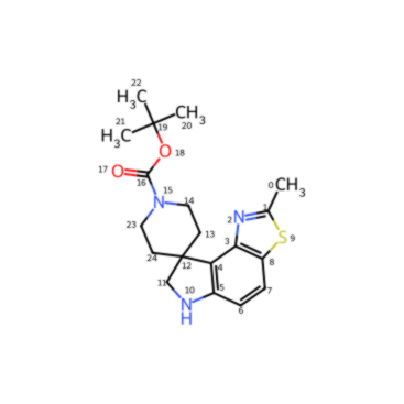 Cc1nc2c3c(ccc2s1)NCC31CCN(C(=O)OC(C)(C)C)CC1